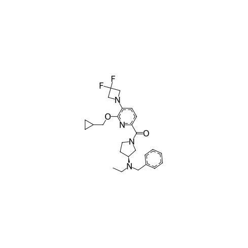 CCN(Cc1ccccc1)[C@H]1CCN(C(=O)c2ccc(N3CC(F)(F)C3)c(OCC3CC3)n2)C1